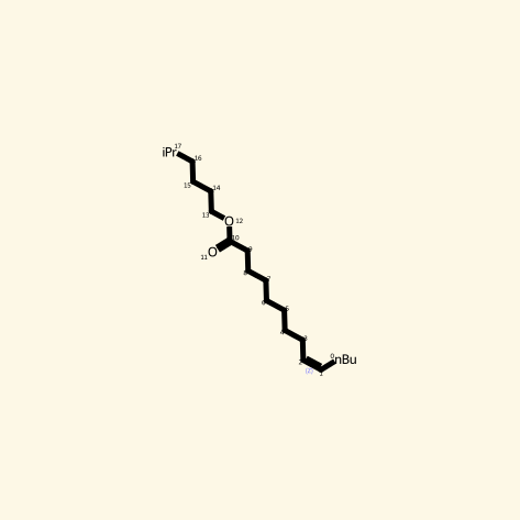 CCCC/C=C\CCCCCCCC(=O)OCCCCC(C)C